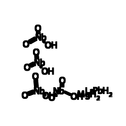 [La].[MgH2].[O]=[Nb](=[O])[OH].[O]=[Nb](=[O])[OH].[O]=[Nb](=[O])[OH].[O]=[Nb](=[O])[OH].[PbH2]